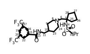 CC(C)S(=O)(=O)NC1(CN2CCC(CNC(=O)c3cc(C(F)(F)F)cc(C(F)(F)F)c3)CC2)CCCC1